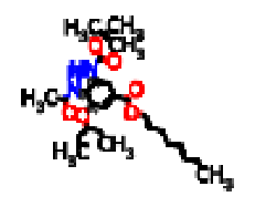 CCCCCCCCOC(=O)C1=C[C@@H](OC(CC)CC)[C@H](NC(C)=O)[C@@H](NC(=O)OC(C)(C)C)C1